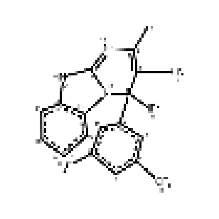 CC1=C(C#N)C(c2cc(C(F)(F)F)cc(C(F)(F)F)c2)(C(C)C)N2C(=N1)Nc1ccccc12